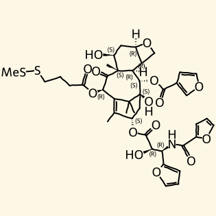 CSSCCCC(=O)O[C@H]1C(=O)[C@@]2(C)[C@H]([C@H](OC(=O)c3ccoc3)[C@]3(O)C[C@H](OC(=O)[C@H](O)[C@@H](NC(=O)c4ccco4)c4ccco4)C(C)=C1C3(C)C)[C@]1(C)CO[C@@H]1C[C@@H]2O